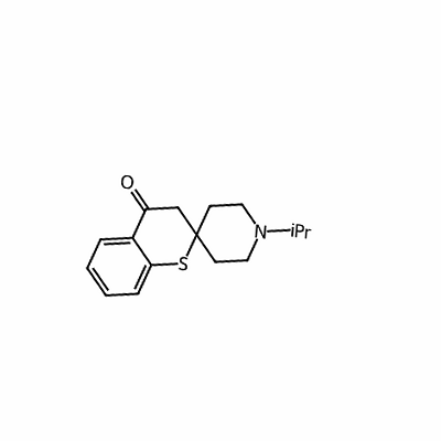 CC(C)N1CCC2(CC1)CC(=O)c1ccccc1S2